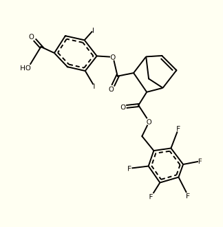 O=C(O)c1cc(I)c(OC(=O)C2C3C=CC(C3)C2C(=O)OCc2c(F)c(F)c(F)c(F)c2F)c(I)c1